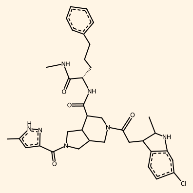 CNC(=O)[C@H](CCCc1ccccc1)NC(=O)C1CN(C(=O)CC2c3ccc(Cl)cc3NC2C)CC2CN(C(=O)c3cc(C)[nH]n3)CC21